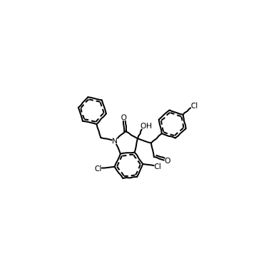 O=CC(c1ccc(Cl)cc1)C1(O)C(=O)N(Cc2ccccc2)c2c(Cl)ccc(Cl)c21